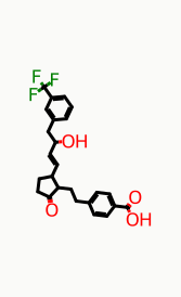 O=C(O)c1ccc(CCC2C(=O)CCC2/C=C/C(O)Cc2cccc(C(F)(F)F)c2)cc1